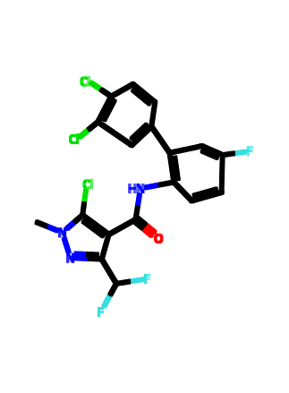 Cn1nc(C(F)F)c(C(=O)Nc2ccc(F)cc2-c2ccc(Cl)c(Cl)c2)c1Cl